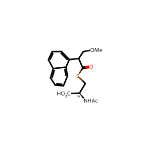 COCC(C(=O)SC[C@@H](NC(C)=O)C(=O)O)c1cccc2ccccc12